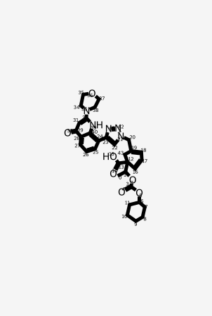 CC(OC(=O)OC1CCCCC1)C1(C(=O)O)C=CC=C(Cn2cc(-c3cccc4c(=O)cc(N5CCOCC5)[nH]c34)nn2)C1